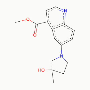 COC(=O)c1ccnc2ccc(N3CCC(C)(O)C3)cc12